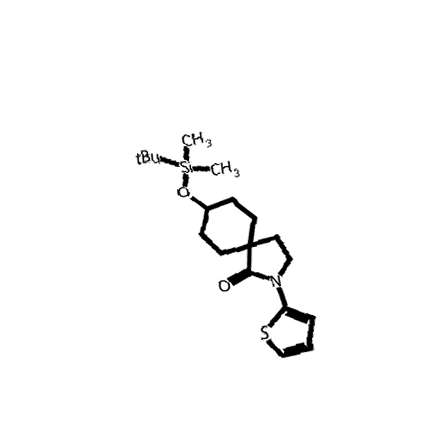 CC(C)(C)[Si](C)(C)OC1CCC2(CC1)CCN(c1cccs1)C2=O